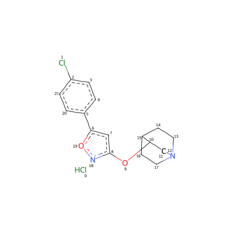 Cl.Clc1ccc(-c2cc(OC3CN4CCC3CC4)no2)cc1